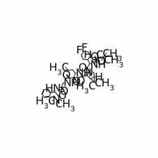 CCCC(NC(=O)C1C2[C@H](CN1C(=O)C(NC(=O)OC(C)(C)C)C1CCC(F)(F)CC1)C2(C)C)C(=O)C(=O)NCC(=O)N[C@H](C(=O)N(C)C)c1ccccc1